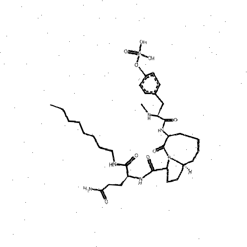 CCCCCCCCNC(=O)[C@H](CCC(N)=O)NC(=O)C1CC[C@@H]2CCCCC(NC(=O)[C@H](Cc3ccc(OP(=O)(O)O)cc3)NC)C(=O)N12